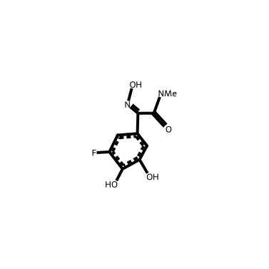 CNC(=O)C(=NO)c1cc(O)c(O)c(F)c1